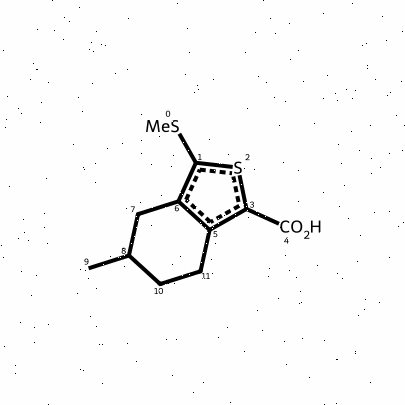 CSc1sc(C(=O)O)c2c1CC(C)CC2